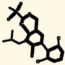 CC(C)Cn1c(=O)c(-c2c(Cl)cccc2Cl)cc2cnc(S(C)(=O)=O)nc21